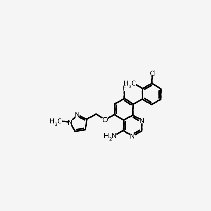 Cc1c(Cl)cccc1-c1c(F)cc(OCc2ccn(C)n2)c2c(N)ncnc12